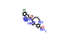 NC(=O)c1ccc2c(c1)NCCCCCC(NC(=O)C=Cc1cc(Cl)ccc1-n1cnnn1)c1nc-2c[nH]1